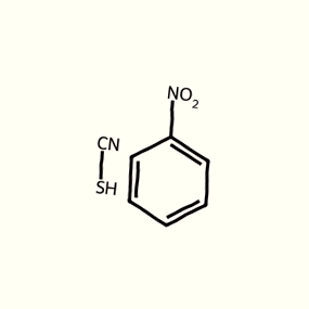 N#CS.O=[N+]([O-])c1ccccc1